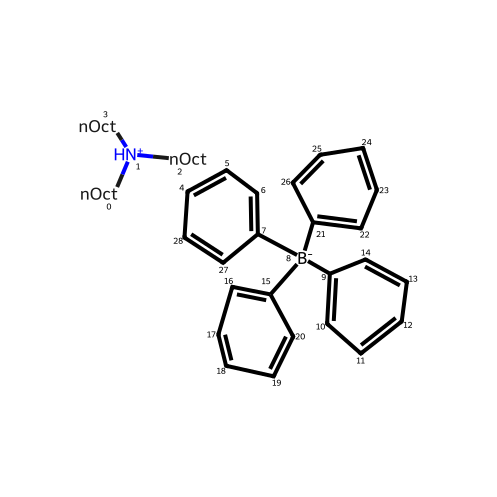 CCCCCCCC[NH+](CCCCCCCC)CCCCCCCC.c1ccc([B-](c2ccccc2)(c2ccccc2)c2ccccc2)cc1